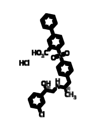 C[C@H](Cc1ccc(S(=O)(=O)c2ccc(-c3ccccc3)cc2C(=O)O)cc1)NC[C@H](O)c1cccc(Cl)c1.Cl